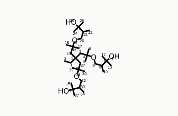 CCC(CC(C)(C)OCC(C)C(C)(C)O)(CC(C)(C)OCC(C)C(C)(C)O)CC(C)(C)OCC(C)C(C)(C)O